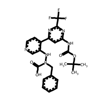 CC(C)(C)OC(=O)Nc1cc(-c2ccncc2NN(Cc2ccccc2)C(=O)O)nc(C(F)(F)F)n1